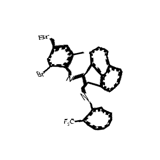 Cc1cc(Br)cc(Br)c1/N=C1/C(=N/c2ccccc2C(F)(F)F)c2cccc3cccc1c23